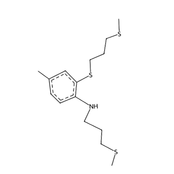 CSCCCNc1ccc(C)cc1SCCCSC